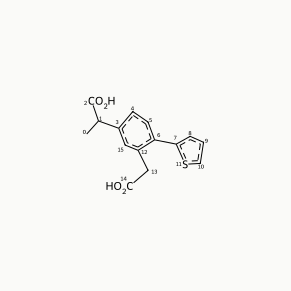 CC(C(=O)O)c1ccc(-c2cccs2)c(CC(=O)O)c1